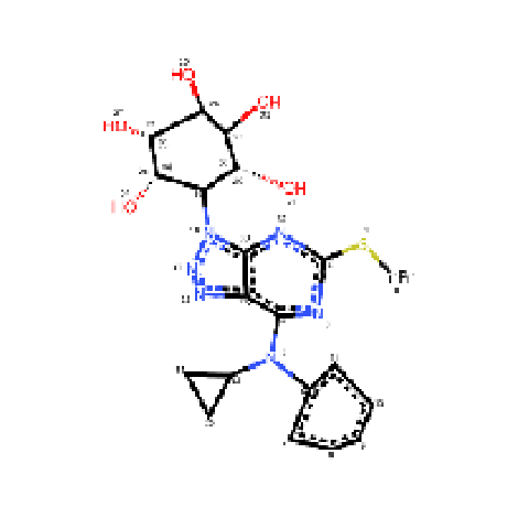 CCCSc1nc(N(c2ccccc2)C2CC2)c2nnn(C3[C@@H](O)C(O)C(O)[C@@H](O)[C@H]3O)c2n1